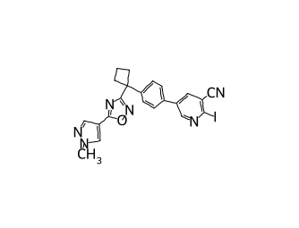 Cn1cc(-c2nc(C3(c4ccc(-c5cnc(I)c(C#N)c5)cc4)CCC3)no2)cn1